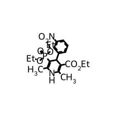 CCOC(=O)C1=C(C)NC(C)=C(P(=O)(OCC)OCC)C1c1cccc([N+](=O)[O-])c1